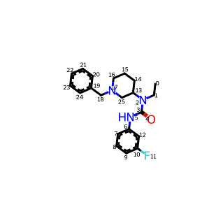 CCN(C(=O)Nc1cccc(F)c1)C1CCCN(Cc2ccccc2)C1